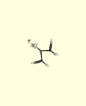 CC(C(=O)[O-])C(=O)[O-].[K+].[Na+]